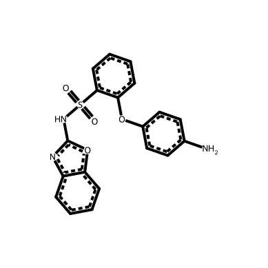 Nc1ccc(Oc2ccccc2S(=O)(=O)Nc2nc3ccccc3o2)cc1